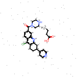 CCCC(=O)O.O=C(c1ccc2c(Cl)c3c(nc2c1)CC(c1ccncc1)CC3)N1CCNCC1